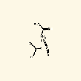 ClC(Cl)Cl.N=C(N)N.N=C=S